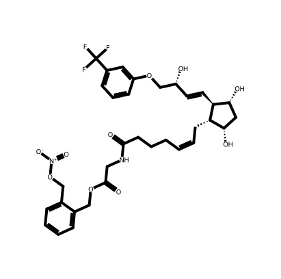 O=C(CCC/C=C\C[C@@H]1[C@@H](/C=C/[C@@H](O)COc2cccc(C(F)(F)F)c2)[C@H](O)C[C@@H]1O)NCC(=O)OCc1ccccc1CO[N+](=O)[O-]